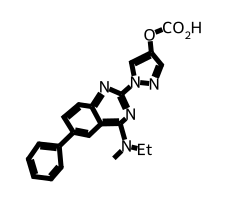 CCN(C)c1nc(-n2cc(OC(=O)O)cn2)nc2ccc(-c3ccccc3)cc12